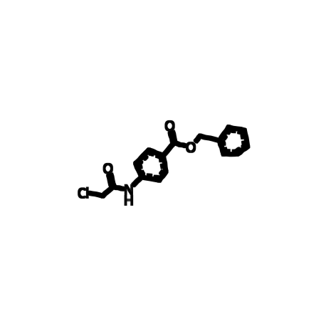 O=C(CCl)Nc1ccc(C(=O)OCc2ccccc2)cc1